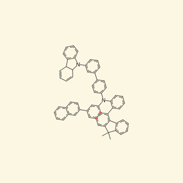 CC1(C)c2ccccc2-c2c(-c3ccccc3N(c3ccc(-c4cccc(N5c6ccccc6C6C=CC=CC65)c4)cc3)c3cccc(-c4ccc5ccccc5c4)c3)cccc21